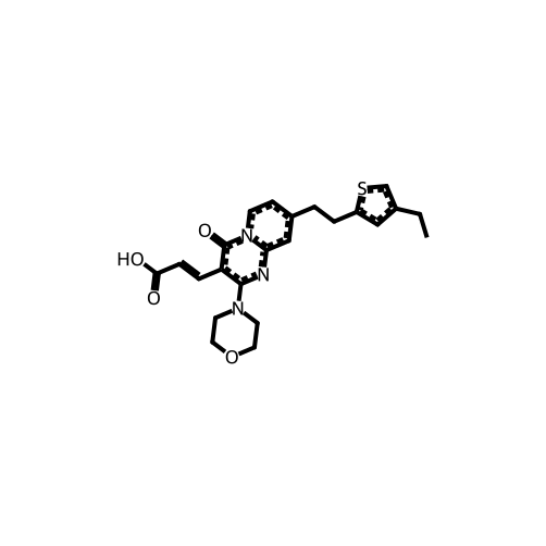 CCc1csc(CCc2ccn3c(=O)c(C=CC(=O)O)c(N4CCOCC4)nc3c2)c1